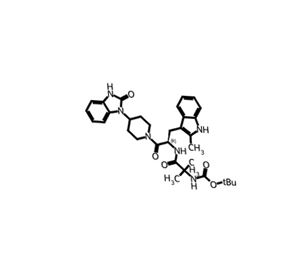 Cc1[nH]c2ccccc2c1C[C@@H](NC(=O)C(C)(C)NC(=O)OC(C)(C)C)C(=O)N1CCC(n2c(=O)[nH]c3ccccc32)CC1